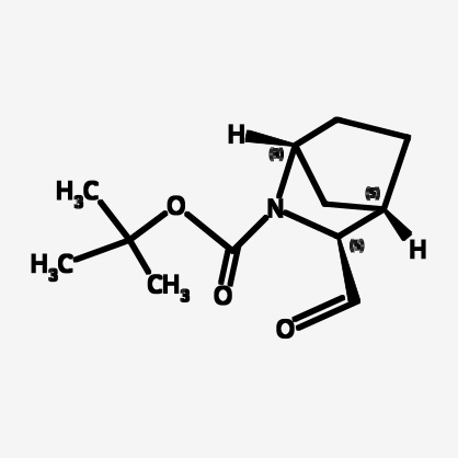 CC(C)(C)OC(=O)N1[C@@H]2CC[C@@H](C2)[C@H]1C=O